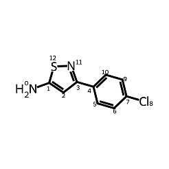 Nc1cc(-c2ccc(Cl)cc2)ns1